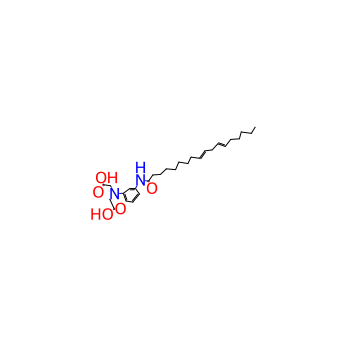 CCCCCC=CCC=CCCCCCCCC(=O)Nc1cccc(N(CC(=O)O)CC(=O)O)c1